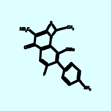 COc1c(-c2ccc(N)cc2)c(F)cc2c(=O)c(C(=O)O)c3n(c12)C(C)S3